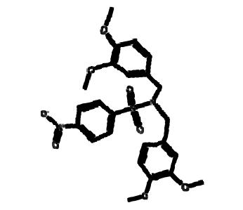 COc1ccc(CN(Cc2ccc(OC)c(OC)c2)S(=O)(=O)c2ccc([N+](=O)[O-])cc2)cc1OC